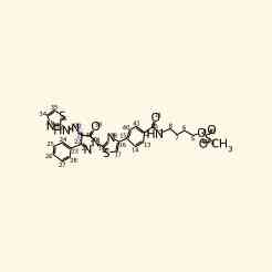 CS(=O)(=O)OCCCCNC(=O)c1ccc(-c2csc(N3N=C(c4ccccc4)/C(=N\Nc4nccs4)C3=O)n2)cc1